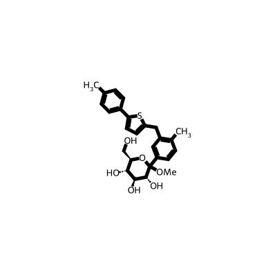 COC1(c2ccc(C)c(Cc3ccc(-c4ccc(C)cc4)s3)c2)O[C@H](CO)[C@@H](O)[C@H](O)[C@H]1O